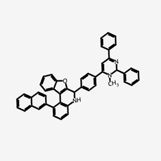 CN1C(c2ccc(C3Nc4cccc(-c5ccc6ccccc6c5)c4-c4c3oc3ccccc43)cc2)=CC(c2ccccc2)=NC1c1ccccc1